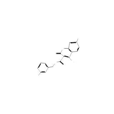 O=C(OCc1cccc(O)c1)c1c(O)c2ccc(Cl)cc2[nH]c1=O